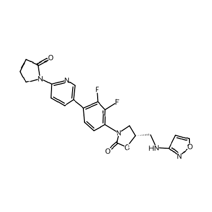 O=C1CCCN1c1ccc(-c2ccc(N3C[C@H](CNc4ccon4)OC3=O)c(F)c2F)cn1